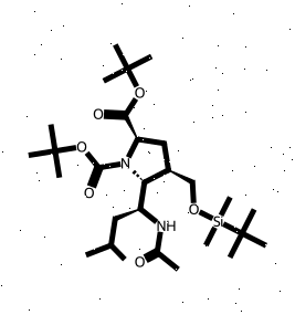 CC(=O)N[C@@H](CC(C)C)[C@H]1[C@H](CO[Si](C)(C)C(C)(C)C)C[C@H](C(=O)OC(C)(C)C)N1C(=O)OC(C)(C)C